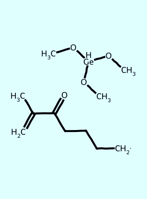 C[O][GeH]([O]C)[O]C.[CH2]CCCC(=O)C(=C)C